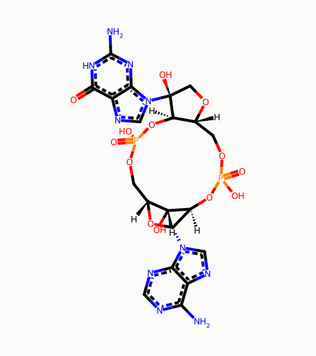 Nc1nc2c(ncn2[C@]2(O)CO[C@@H]3COP(=O)(O)O[C@@H]4[C@H](O)[C@@H](COP(=O)(O)O[C@H]32)O[C@H]4n2cnc3c(N)ncnc32)c(=O)[nH]1